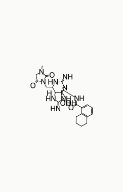 CN1CC(=O)N(CC2NC(=N)N3CC(NC(=O)c4cccc5c4CCCC5)C(O)(O)[C@@]34NC(=N)N[C@@H]24)C1=O